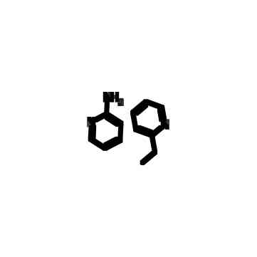 CCc1ccccn1.Nc1ccccn1